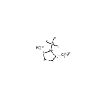 C[Si](C)(C)N1CCC[C@H]1C(=O)O.Cl